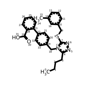 CCCCc1nnc(SCc2cccc(C)c2)n1Cc1ccc(-c2ccccc2C(=O)O)cc1